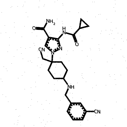 N#CCC1(n2cc(C(N)=O)c(NC(=O)C3CC3)n2)CCC(NCc2cccc(C#N)c2)CC1